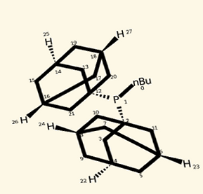 CCCCP([C@]12C[C@H]3C[C@H](C[C@H](C3)C1)C2)[C@]12C[C@H]3C[C@H](C[C@H](C3)C1)C2